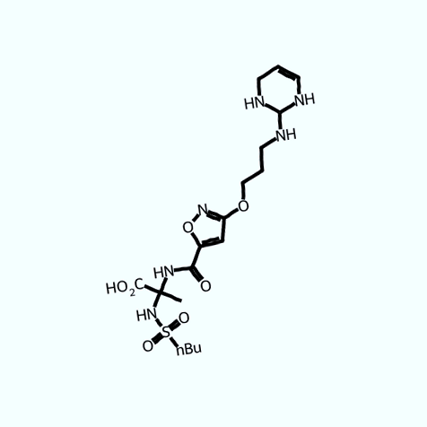 CCCCS(=O)(=O)NC(C)(NC(=O)c1cc(OCCCNC2NC=CCN2)no1)C(=O)O